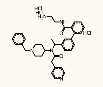 CC(c1cccc(-c2ccccc2C(=O)NCCN)c1)N(C(=O)Cc1ccncc1)C1CCN(Cc2ccccc2)CC1.Cl.Cl.Cl